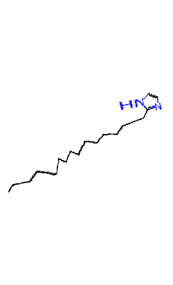 CCCCCCCCCCCCCCCc1ncc[nH]1